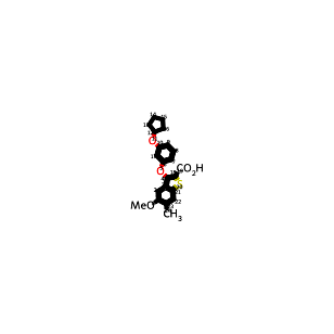 COc1cc2c(Oc3cccc(OC4CCCC4)c3)c(C(=O)O)sc2cc1C